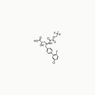 CC(F)(F)COC(=O)C(=O)NN(Cc1ccc(-c2cc(Cl)ccc2F)cc1)C[C@@H](O)C(=O)O